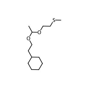 CSCCOC(C)OCCC1CCCCC1